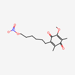 COC1=C(C)C(=O)C(C)=C(CCCCCCO[N+](=O)[O-])C1=O